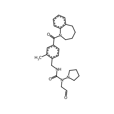 Cc1cc(C(=O)N2CCCCc3ccccc32)ccc1CNC(=O)N(CC=O)N1CCCC1